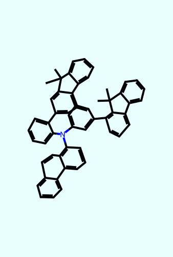 CC1(C)c2ccccc2-c2ccc(-c3ccccc3N(c3cccc(-c4cccc5c4C(C)(C)c4ccccc4-5)c3)c3cccc4c3ccc3ccccc34)cc21